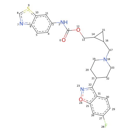 O=C(Nc1ccc2ncsc2c1)OCC1CC1CN1CCC(c2noc3cc(F)ccc23)CC1